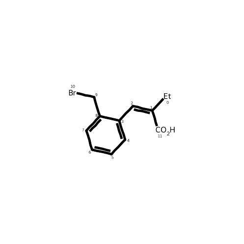 CCC(=Cc1ccccc1CBr)C(=O)O